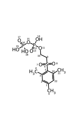 Cc1cc(C)c(S(=O)(=O)CCOP(=O)(O)OP(=O)(O)O)c(C)c1